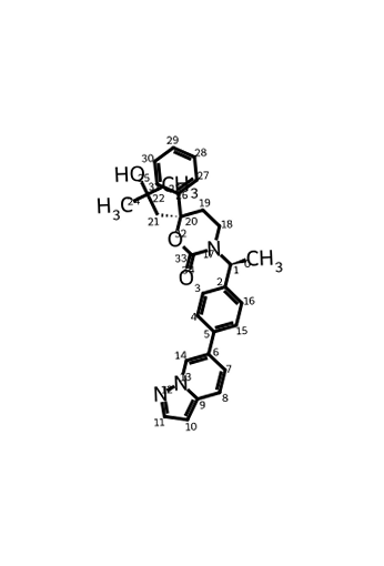 C[C@@H](c1ccc(-c2ccc3ccnn3c2)cc1)N1CC[C@](CC(C)(C)O)(c2ccccc2)OC1=O